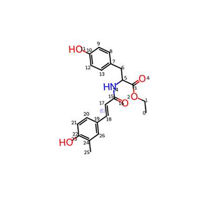 CCOC(=O)C(Cc1ccc(O)cc1)NC(=O)/C=C/c1ccc(O)c(C)c1